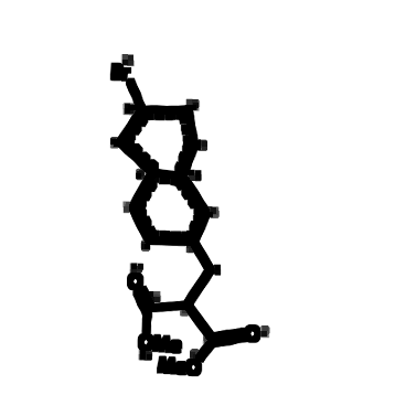 COC(=O)C(Cc1ccc2cc(Br)ccc2c1)C(=O)OC